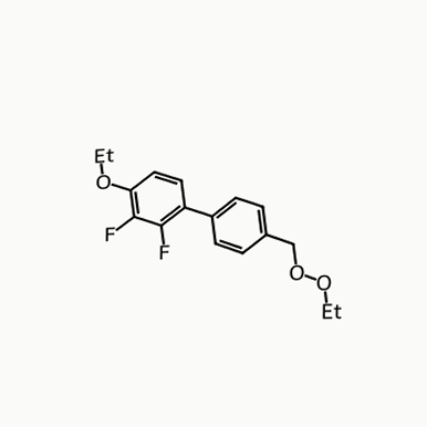 CCOOCc1ccc(-c2ccc(OCC)c(F)c2F)cc1